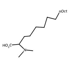 CCCCCCCCCCCCCCC(C(=O)O)N(C)C